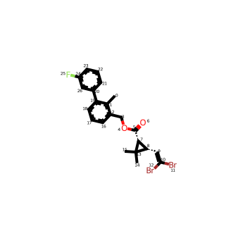 Cc1c(COC(=O)[C@@H]2[C@H](C=C(Br)Br)C2(C)C)cccc1-c1cccc(F)c1